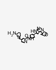 N[C@@H]1CCCN(Cc2ccnc(C(=O)Nc3ccc(-c4cc5c(C67CCOCC6C7)ncnc5[nH]4)cc3)c2)C1